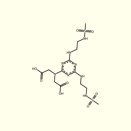 CS(=O)(=O)NCCNc1nc(NCCNS(C)(=O)=O)nc(N(CC(=O)O)CC(=O)O)n1